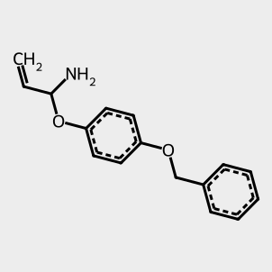 C=CC(N)Oc1ccc(OCc2ccccc2)cc1